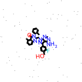 Cc1ccccc1-n1c(Cn2nc(-c3ccc(CO)c(F)c3)c3c(N)ncnc32)nc2cccc(C)c2c1=O